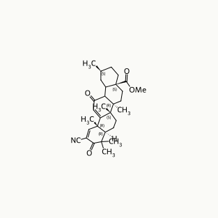 COC(=O)[C@]12CC[C@H](C)CC1C1C(=O)C=C3[C@@]4(C)C=C(C#N)C(=O)C(C)(C)[C@@H]4CC[C@@]3(C)[C@]1(C)CC2